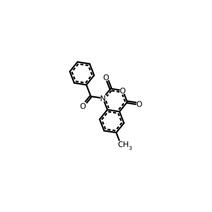 Cc1ccc2c(c1)c(=O)oc(=O)n2C(=O)c1ccccc1